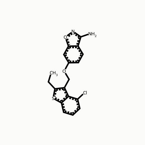 CCc1sc2cccc(Cl)c2c1COc1ccc2c(N)noc2c1